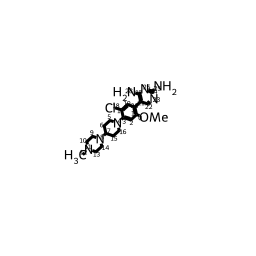 COc1cc(N2CCC(N3CCN(C)CC3)CC2)c(Cl)cc1-c1cnc(N)nc1N